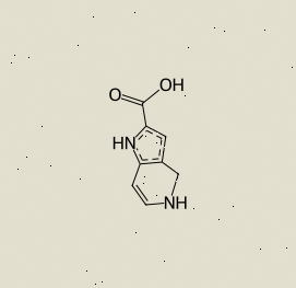 O=C(O)c1cc2c([nH]1)C=CNC2